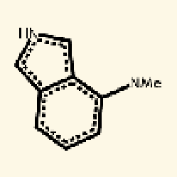 CNc1cccc2c[nH]cc12